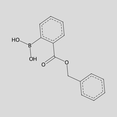 O=C(OCc1ccccc1)c1ccccc1B(O)O